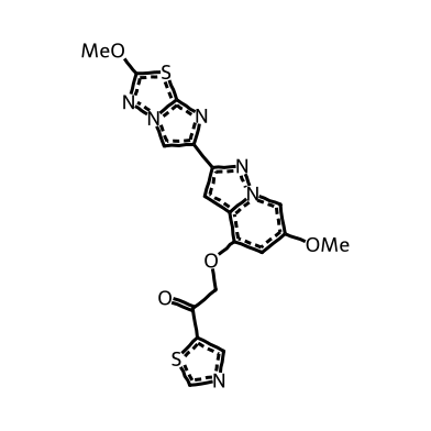 COc1cc(OCC(=O)c2cncs2)c2cc(-c3cn4nc(OC)sc4n3)nn2c1